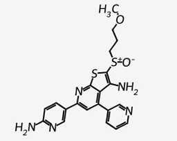 COCCC[S+]([O-])c1sc2nc(-c3ccc(N)nc3)cc(-c3cccnc3)c2c1N